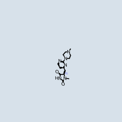 CN1CCN(c2nccc(/C=C3\C(=O)NC(=O)N3C)n2)CC1